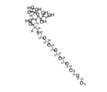 COCCOCCOCCOCCOCCOCCOCCOCCSCC(C)C(=O)CC1C(O)CC(O)(C(=O)O)OC1C(O)C(O)CO